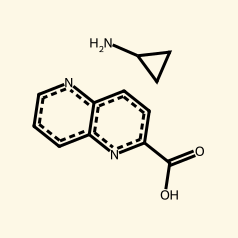 NC1CC1.O=C(O)c1ccc2ncccc2n1